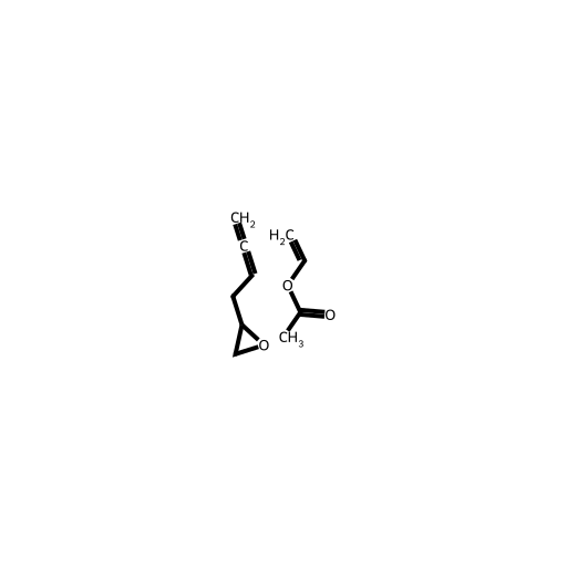 C=C=CCC1CO1.C=COC(C)=O